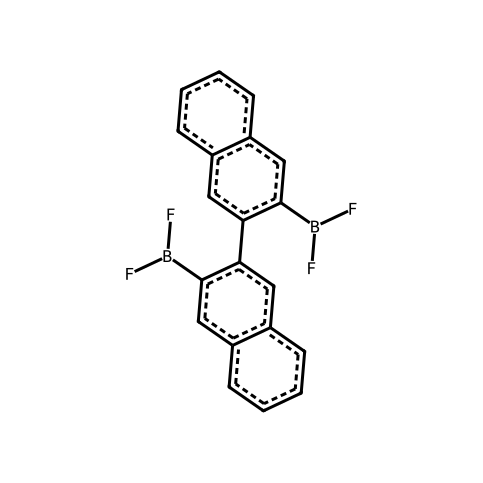 FB(F)c1cc2ccccc2cc1-c1cc2ccccc2cc1B(F)F